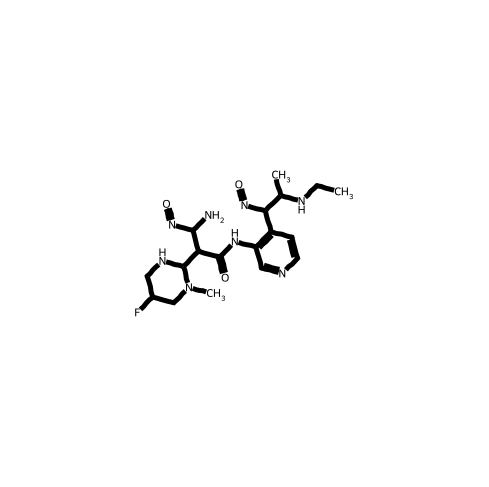 CCNC(C)C(N=O)c1ccncc1NC(=O)C(C(N)N=O)C1NCC(F)CN1C